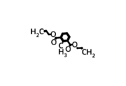 C=CCOC(=O)c1cccc(C(=O)OCC=C)c1C